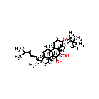 CC(C)CCC[C@@H](C)[C@H]1CC[C@H]2[C@@H]3[C@@H](O)[C@H](O)[C@H]4CC(O[Si](C)(C)C(C)(C)C)CC[C@]4(C)[C@H]3CC[C@]12C